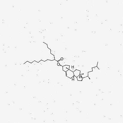 CCCCCCCCCC(CCCCCC)C(=O)O[C@H]1CC[C@@]2(C)C(=CC[C@H]3[C@@H]4CC[C@H]([C@H](C)CCCC(C)C)[C@@]4(C)CC[C@@H]32)C1